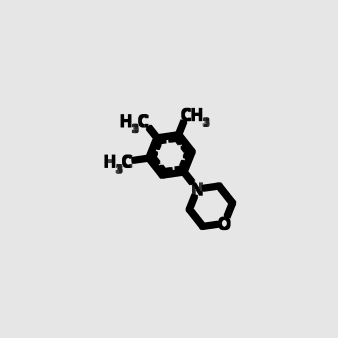 Cc1cc(N2CCOCC2)cc(C)c1C